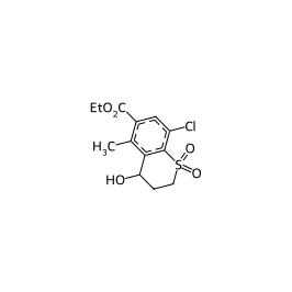 CCOC(=O)c1cc(Cl)c2c(c1C)C(O)CCS2(=O)=O